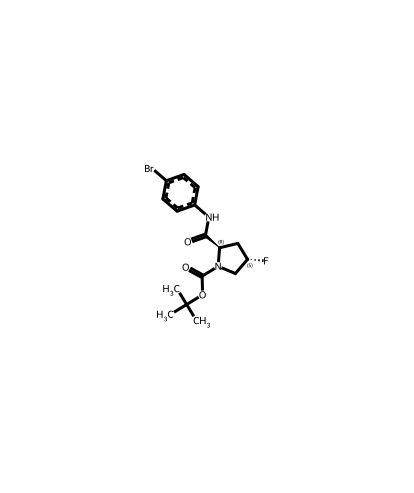 CC(C)(C)OC(=O)N1C[C@@H](F)C[C@@H]1C(=O)Nc1ccc(Br)cc1